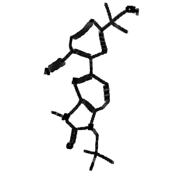 Cn1c(=O)n(CC(C)(C)C)c2ccc(-c3cc(C(C)(C)O)ccc3C#N)nc21